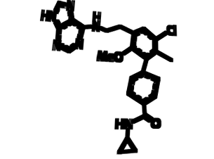 COc1c(CCNc2ncnc3[nH]cnc23)cc(Cl)c(C)c1-c1ccc(C(=O)NC2CC2)cc1